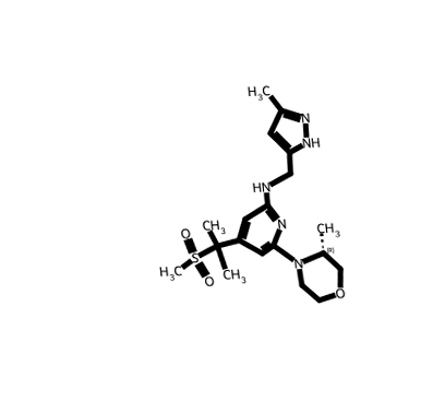 Cc1cc(CNc2cc(C(C)(C)S(C)(=O)=O)cc(N3CCOC[C@H]3C)n2)[nH]n1